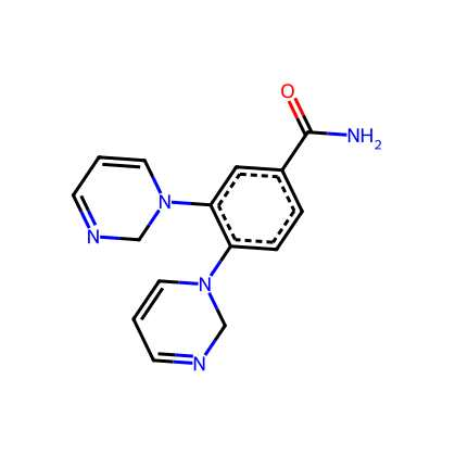 NC(=O)c1ccc(N2C=CC=NC2)c(N2C=CC=NC2)c1